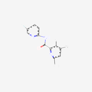 [C-]#[N+]c1cc(C)nc(C(=O)Nc2ccc(F)cn2)c1C